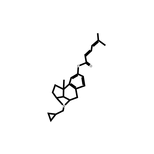 CC(C)=C/C=C/C(=O)Oc1ccc2c(c1)C1(C)CCC3C1C(C2)N3CC1CC1